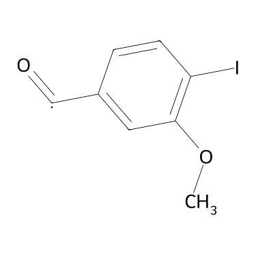 COc1cc([C]=O)ccc1I